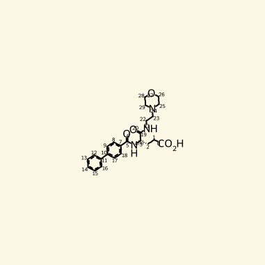 O=C(O)CC[C@H](NC(=O)c1ccc(-c2ccccc2)cc1)C(=O)NCCN1CCOCC1